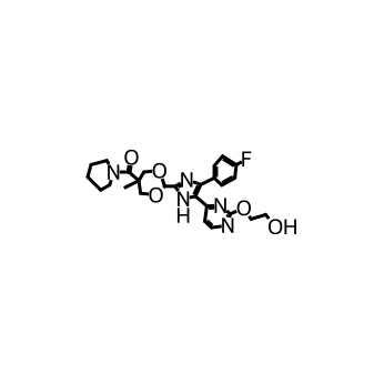 CC1(C(=O)N2CCCCC2)COC(c2nc(-c3ccc(F)cc3)c(-c3ccnc(OCCO)n3)[nH]2)OC1